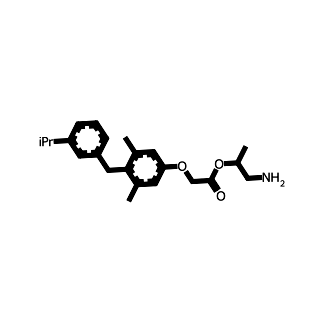 Cc1cc(OCC(=O)OC(C)CN)cc(C)c1Cc1cccc(C(C)C)c1